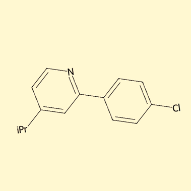 CC(C)c1ccnc(-c2ccc(Cl)cc2)c1